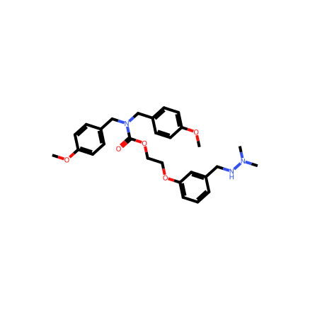 COc1ccc(CN(Cc2ccc(OC)cc2)C(=O)OCCOc2cccc(CNN(C)C)c2)cc1